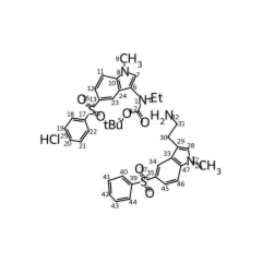 CCN(C(=O)OC(C)(C)C)c1cn(C)c2ccc(S(=O)(=O)c3ccccc3)cc12.Cl.Cn1cc(CCN)c2cc(S(=O)(=O)c3ccccc3)ccc21